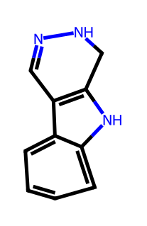 C1=NNCc2[nH]c3ccccc3c21